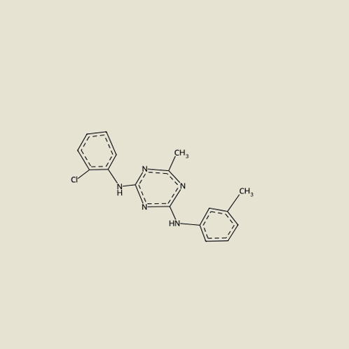 Cc1cccc(Nc2nc(C)nc(Nc3ccccc3Cl)n2)c1